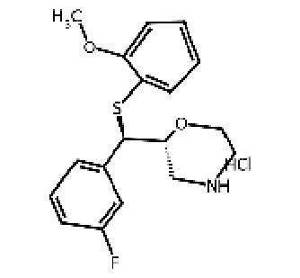 COc1ccccc1S[C@H](c1cccc(F)c1)[C@H]1CNCCO1.Cl